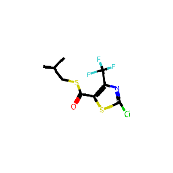 CC(C)CSC(=O)c1sc(Cl)nc1C(F)(F)F